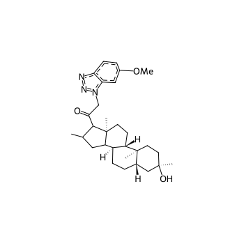 COc1ccc2nnn(CC(=O)C3C(C)CC4[C@@H]5CC[C@H]6C[C@](C)(O)CC[C@]6(C)[C@H]5CC[C@]34C)c2c1